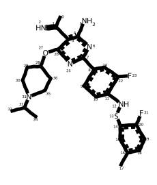 CC(=N)c1c(N)nc(-c2ccc(NSc3cc(C)ccc3F)c(F)c2)nc1OC1CCN(C(C)C)CC1